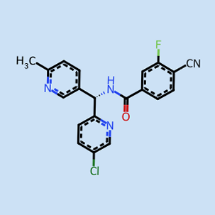 Cc1ccc([C@H](NC(=O)c2ccc(C#N)c(F)c2)c2ccc(Cl)cn2)cn1